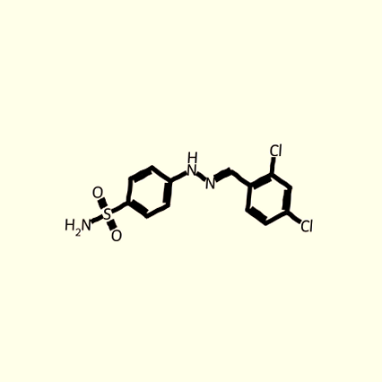 NS(=O)(=O)c1ccc(NN=Cc2ccc(Cl)cc2Cl)cc1